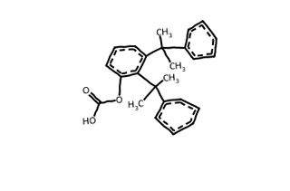 CC(C)(c1ccccc1)c1cccc(OC(=O)O)c1C(C)(C)c1ccccc1